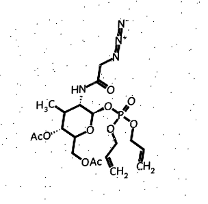 C=CCOP(=O)(OCC=C)O[C@H]1OC(COC(C)=O)[C@H](OC(C)=O)C(C)[C@@H]1NC(=O)CN=[N+]=[N-]